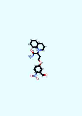 NC(=O)C(CCOc1ccc([N+](=O)[O-])c(C=O)c1)N1CCCC2CCCCC21